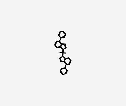 CC(C)(C1C=Cc2c(-c3ccccc3)cccc21)C1C=Cc2c(-c3ccccc3)cccc21